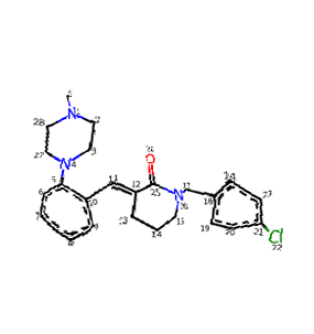 CN1CCN(c2ccccc2C=C2CCCN(Cc3ccc(Cl)cc3)C2=O)CC1